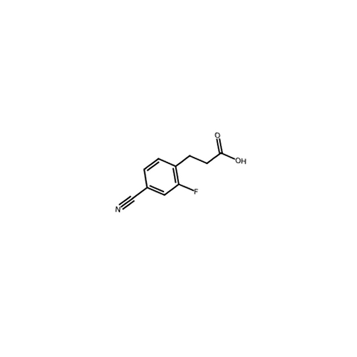 N#Cc1ccc(CCC(=O)O)c(F)c1